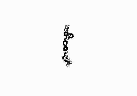 O=[N+]([O-])c1cn2c(n1)OC(COc1ccc(N3CCC(CC(OC4CCCCO4)c4ccc(OC(F)(F)F)cc4)CC3)cc1)CC2